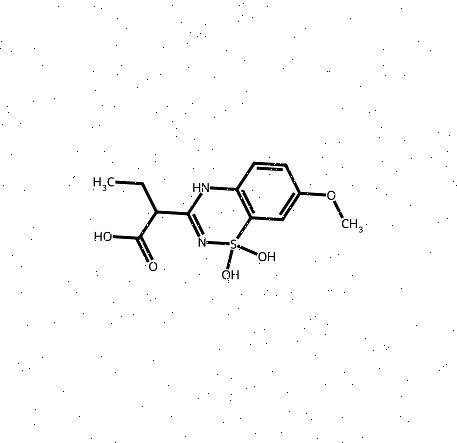 CCC(C(=O)O)C1=NS(O)(O)c2cc(OC)ccc2N1